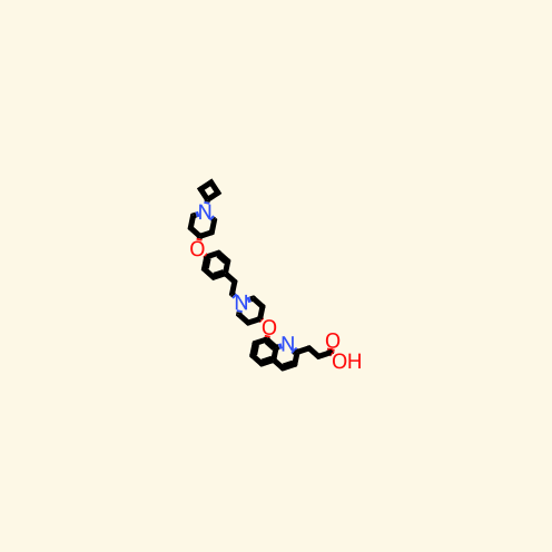 O=C(O)CCc1ccc2cccc(OC3CCN(CCc4ccc(OC5CCN(C6CCC6)CC5)cc4)CC3)c2n1